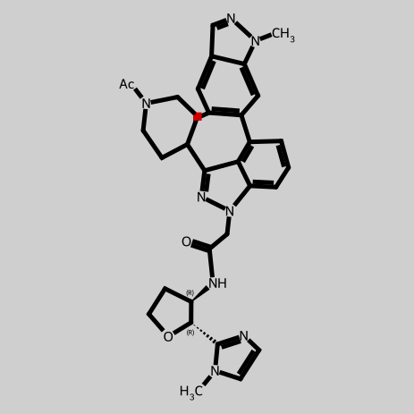 CC(=O)N1CCC(c2nn(CC(=O)N[C@@H]3CCO[C@H]3c3nccn3C)c3cccc(-c4cc5c(cnn5C)cc4F)c23)CC1